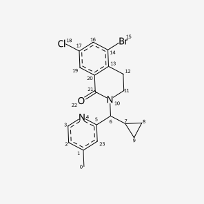 Cc1ccnc(C(C2CC2)N2CCc3c(Br)cc(Cl)cc3C2=O)c1